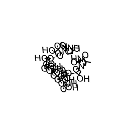 Cc1cn([C@H]2C[C@H](O)[C@@H](COP(=O)(O)OP(=O)(O)OP(=O)(O)O)O2)c(=O)[nH]c1=O.O=c1ccn([C@@H]2O[C@H](COP(=O)(O)OP(=O)(O)OP(=O)(O)O)[C@@H](O)[C@H]2O)c(=O)[nH]1